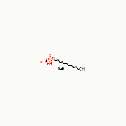 CCCCCCCCCCCCOS(=O)(=O)OB(O)O.[NaH]